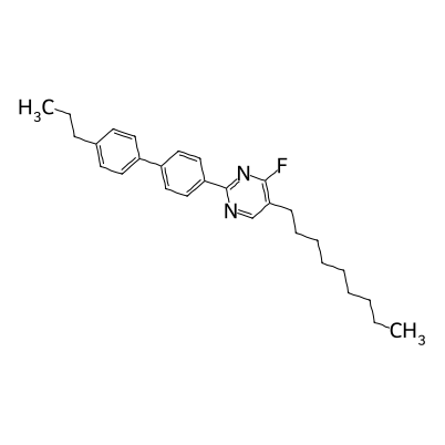 CCCCCCCCCc1cnc(-c2ccc(-c3ccc(CCC)cc3)cc2)nc1F